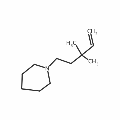 C=CC(C)(C)CCN1CCCCC1